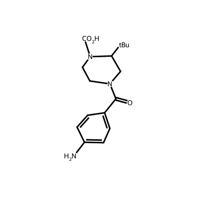 CC(C)(C)C1CN(C(=O)c2ccc(N)cc2)CCN1C(=O)O